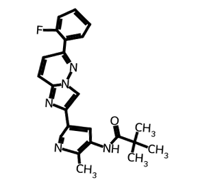 Cc1ncc(-c2cn3nc(-c4ccccc4F)ccc3n2)cc1NC(=O)C(C)(C)C